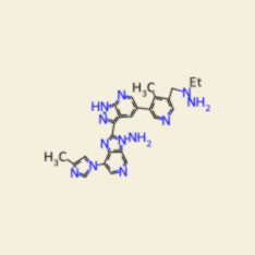 CCN(N)Cc1cncc(-c2cnc3[nH]nc(-c4nc5c(-n6cnc(C)c6)cncc5n4N)c3c2)c1C